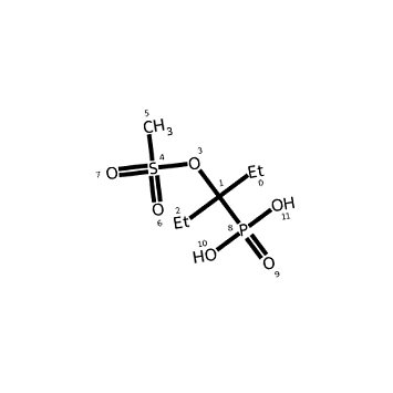 CCC(CC)(OS(C)(=O)=O)P(=O)(O)O